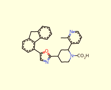 Cc1ncccc1C1CC(c2ncc(-c3cccc4c3-c3ccccc3C4)o2)CCN1C(=O)O